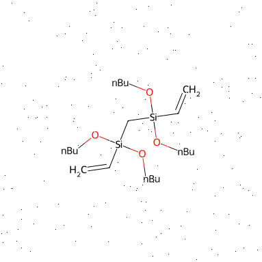 C=C[Si](C[Si](C=C)(OCCCC)OCCCC)(OCCCC)OCCCC